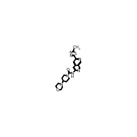 Cc1nnc(-c2cc3cc(NC(=O)N4CCC(N5CCOCC5)CC4)ncc3cn2)s1